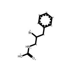 O=C(O)NCC(Br)Cc1ccccc1